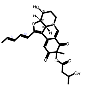 C/C=C/C=C/C1=C2C3=CC(=O)C(C)(OC(=O)CC(C)O)C(=O)C3=CN3CC[C@H](O)[C@H](O1)[C@@H]23